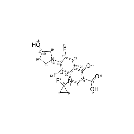 O=C(O)c1cn(C2(F)CC2)c2c(F)c(N3CC[C@H](O)C3)c(F)cc2c1=O